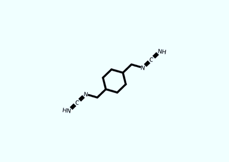 N=C=NCC1CCC(CN=C=N)CC1